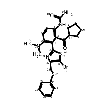 CN(C)c1ccc(NC(N)=O)c(C(=O)C2CCCC2)c1-c1nc(CSc2ccccc2)c(Br)s1